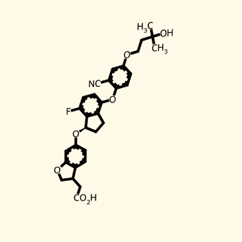 CC(C)(O)CCOc1ccc(Oc2ccc(F)c3c2CC[C@H]3Oc2ccc3c(c2)OCC3CC(=O)O)c(C#N)c1